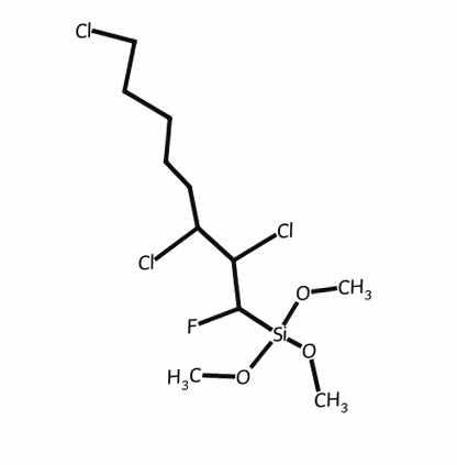 CO[Si](OC)(OC)C(F)C(Cl)C(Cl)CCCCCCl